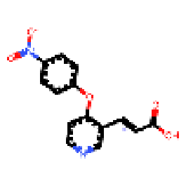 O=C(O)/C=C/c1cnccc1Oc1ccc([N+](=O)[O-])cc1